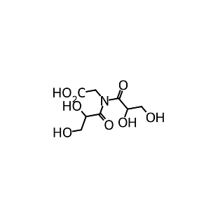 O=C(O)CN(C(=O)C(O)CO)C(=O)C(O)CO